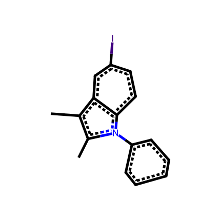 Cc1c(C)n(-c2ccccc2)c2ccc(I)cc12